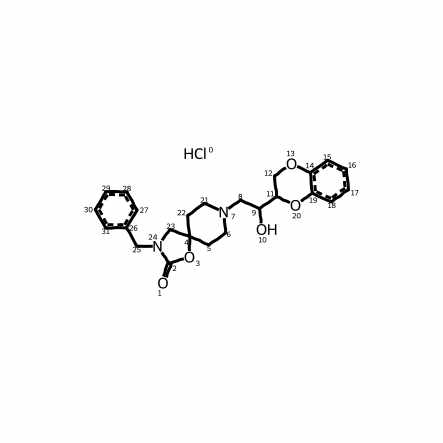 Cl.O=C1OC2(CCN(CC(O)C3COc4ccccc4O3)CC2)CN1Cc1ccccc1